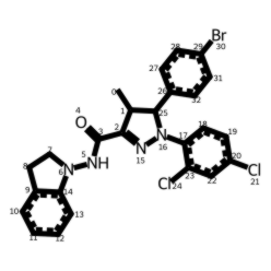 CC1C(C(=O)NN2CCc3ccccc32)=NN(c2ccc(Cl)cc2Cl)C1c1ccc(Br)cc1